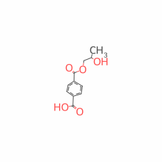 CC(O)COC(=O)c1ccc(C(=O)O)cc1